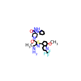 COc1ccc(-c2nc(C(C)N)c(C(=O)N3CCC(Nc4ccccc4)(C(N)=O)CC3)s2)c2ccc(C(F)(F)F)nc12